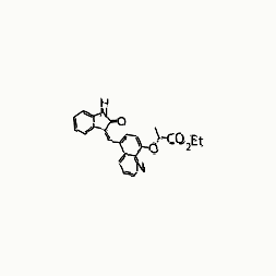 CCOC(=O)C(C)Oc1ccc(C=C2C(=O)Nc3ccccc32)c2cccnc12